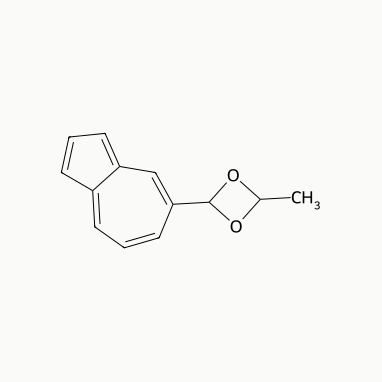 CC1OC(c2cccc3cccc-3c2)O1